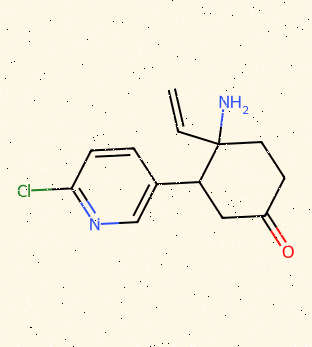 C=CC1(N)CCC(=O)CC1c1ccc(Cl)nc1